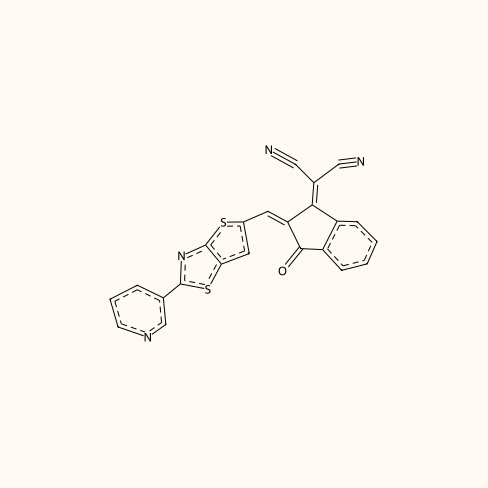 N#CC(C#N)=C1/C(=C/c2cc3sc(-c4cccnc4)nc3s2)C(=O)c2ccccc21